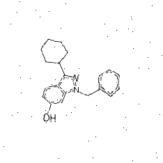 Oc1ccc2c(C3CCCCC3)nn(Cc3ccccc3)c2c1